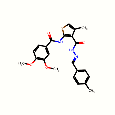 COc1ccc(C(=O)Nc2scc(C)c2C(=O)NN=Cc2ccc(C)cc2)cc1OC